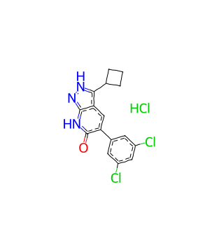 Cl.O=c1[nH]c2n[nH]c(C3CCC3)c2cc1-c1cc(Cl)cc(Cl)c1